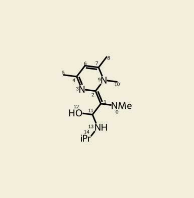 CN/C(=C1/N=C(C)C=C(C)N1C)C(O)NC(C)C